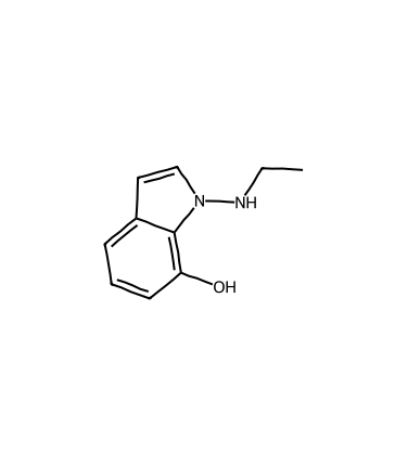 CCNn1ccc2cccc(O)c21